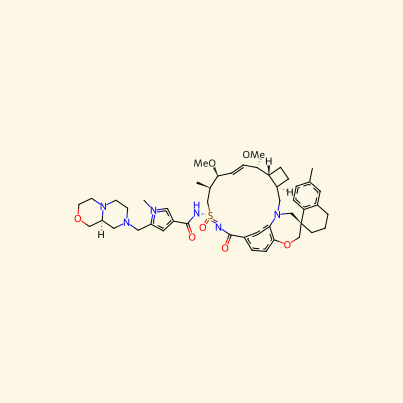 CO[C@H]1/C=C/[C@H](OC)[C@H](C)C[S@@](=O)(NC(=O)c2cc(CN3CCN4CCOC[C@@H]4C3)n(C)c2)=NC(=O)c2ccc3c(c2)N(C[C@@H]2CC[C@H]21)C[C@@]1(CCCc2cc(C)ccc21)CO3